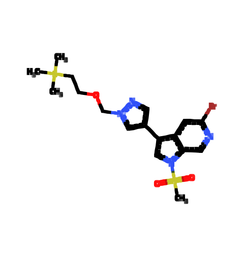 CS(C)(C)CCOCn1cc(-c2cn(S(C)(=O)=O)c3cnc(Br)cc23)cn1